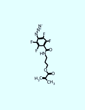 C=C(C)C(=O)OCCCNC(=O)c1c(F)c(F)c(N=[N+]=[N-])c(F)c1F